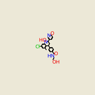 Cc1cc(Cl)ccc1C(C/C(=N/O)c1ccc(=O)n(C)c1)c1ccc(C(=O)NCCO)cc1